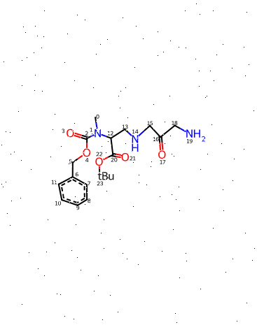 CN(C(=O)OCc1ccccc1)C(CNCC(=O)CN)C(=O)OC(C)(C)C